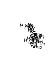 CCCCCCOC(=O)C(C)(C)N[P@](=O)(CO[C@H](C)Cn1cnc2c(N)ncnc21)O[C@@H](C)C(=O)OC(C)C